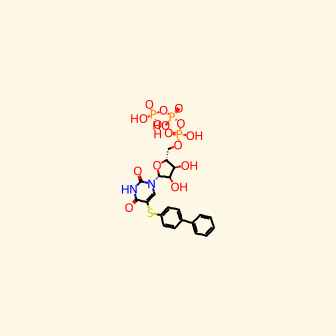 O=c1[nH]c(=O)n([C@@H]2O[C@H](COP(=O)(O)OP(=O)(O)OP(=O)(O)O)[C@@H](O)[C@H]2O)cc1Sc1ccc(-c2ccccc2)cc1